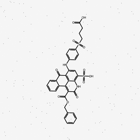 O=C(O)CCCS(=O)(=O)c1ccc(Nc2cc(S(=O)(=O)O)c3[nH]c(=O)c(C(=O)OCc4ccccc4)c4c3c2C(=O)c2ccccc2-4)cc1